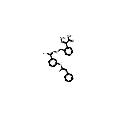 CNC(=O)C(=NOC)c1ccccc1CON=C(C)c1cccc(OC(F)=Cc2ccccc2)c1